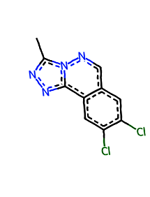 Cc1nnc2c3cc(Cl)c(Cl)cc3cnn12